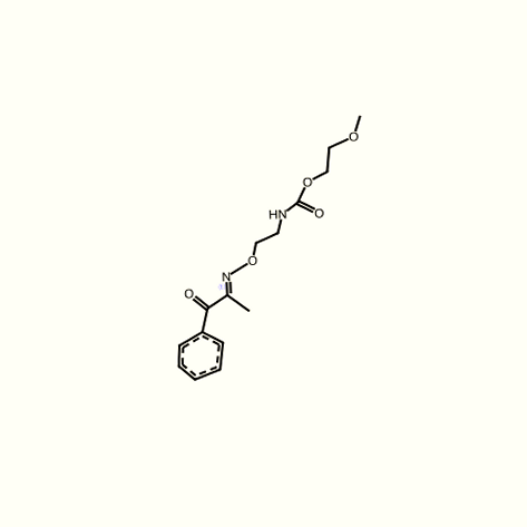 COCCOC(=O)NCCO/N=C(\C)C(=O)c1ccccc1